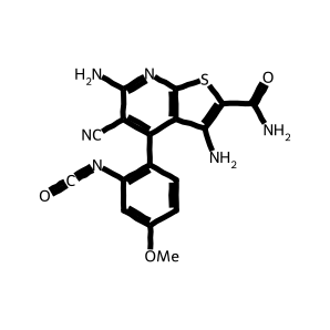 COc1ccc(-c2c(C#N)c(N)nc3sc(C(N)=O)c(N)c23)c(N=C=O)c1